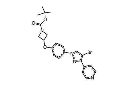 CC(C)(C)OC(=O)N1CC(Oc2ccc(-n3cc(Br)c(-c4ccncc4)n3)cc2)C1